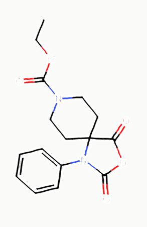 CCOC(=O)N1CCC2(CC1)C(=O)OC(=O)N2c1ccccc1